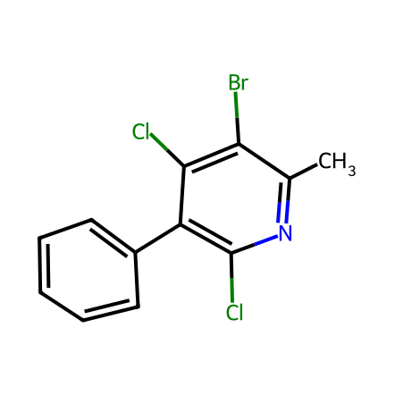 Cc1nc(Cl)c(-c2ccccc2)c(Cl)c1Br